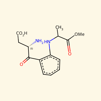 COC(=O)C(C)Nc1ccccc1C(=O)[C@@H](N)CC(=O)O